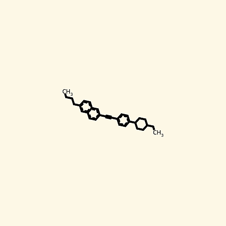 CCCCc1ccc2cc(C#Cc3ccc(C4CCC(CC)CC4)cc3)ccc2c1